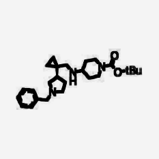 CC(C)(C)OC(=O)N1CCC(NCC2([C@H]3CCN(Cc4ccccc4)C3)CC2)CC1